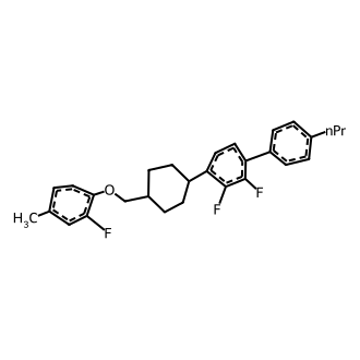 CCCc1ccc(-c2ccc(C3CCC(COc4ccc(C)cc4F)CC3)c(F)c2F)cc1